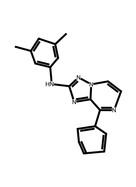 Cc1cc(C)cc(Nc2nc3c(-c4ccccc4)nccn3n2)c1